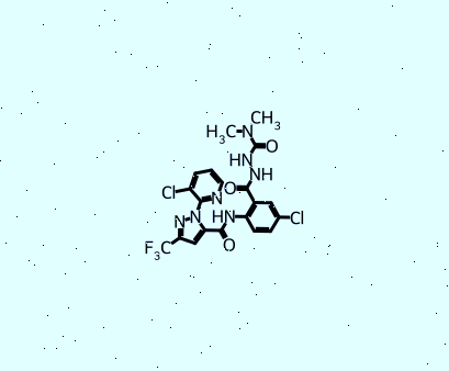 CN(C)C(=O)NNC(=O)c1cc(Cl)ccc1NC(=O)c1cc(C(F)(F)F)nn1-c1ncccc1Cl